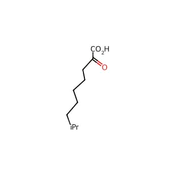 CC(C)CCCCCC(=O)C(=O)O